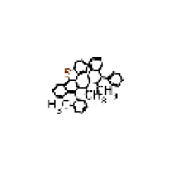 Cc1ccccc1-c1c(C(C)C2=Cc3ccccc3C(c3ccccc3)C2C)c2c3ccccc3sc2c2ccccc12